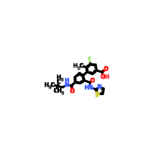 Cc1c(F)cc(C(=O)O)cc1-c1ccc(C(=O)NCC(C)(C)C)cc1C(=O)Nc1nccs1